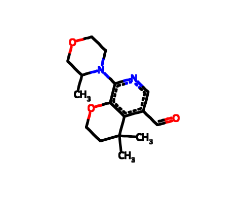 CC1COCCN1c1ncc(C=O)c2c1OCCC2(C)C